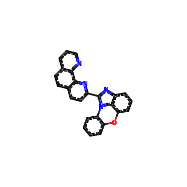 c1ccc2c(c1)Oc1cccc3nc(-c4ccc5ccc6cccnc6c5n4)n-2c13